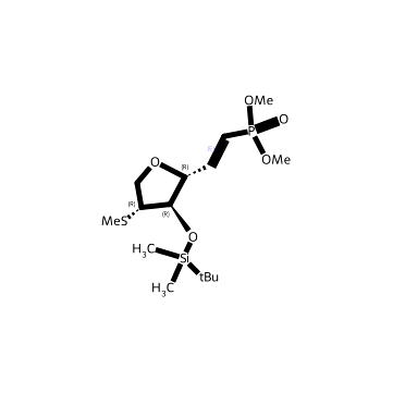 COP(=O)(/C=C/[C@H]1OC[C@@H](SC)[C@@H]1O[Si](C)(C)C(C)(C)C)OC